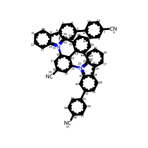 N#Cc1ccc(-c2ccc3c4ccccc4n(-c4cc(C#N)cc(-n5c6ccccc6c6ccc(-c7ccc(C#N)cc7)cc65)c4-c4c(C(F)(F)F)cccc4C(F)(F)F)c3c2)cc1